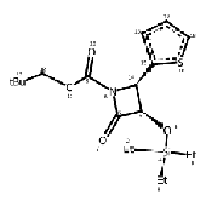 CC[Si](CC)(CC)O[C@H]1C(=O)N(C(=O)OCC(C)(C)C)[C@H]1c1cccs1